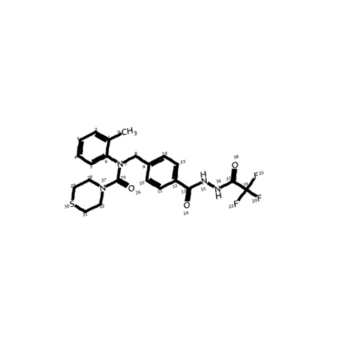 Cc1ccccc1N(Cc1ccc(C(=O)NNC(=O)C(F)(F)F)cc1)C(=O)N1CCSCC1